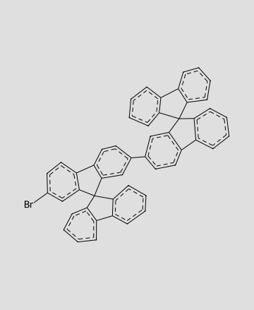 Brc1ccc2c(c1)C1(c3ccccc3-c3ccccc31)c1cc(-c3ccc4c(c3)C3(c5ccccc5-c5ccccc53)c3ccccc3-4)ccc1-2